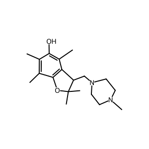 Cc1c(C)c2c(c(C)c1O)C(CN1CCN(C)CC1)C(C)(C)O2